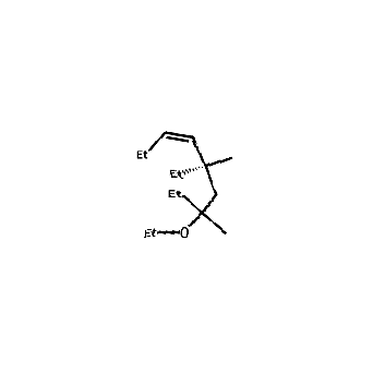 CC/C=C\[C@](C)(CC)CC(C)(CC)OCC